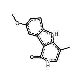 COc1ccc2[nH]c3c(C)c[nH]c(=O)c3c2c1